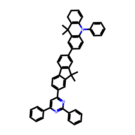 CC1(C)C2=C(C=CCC2)N(c2ccccc2)c2ccc(-c3ccc4c(c3)C(C)(C)c3cc(-c5cc(-c6ccccc6)nc(-c6ccccc6)n5)ccc3-4)cc21